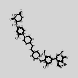 COc1cc(-c2cn(C)c(=O)c3[nH]ncc23)cc(Cl)c1CN1CCC(CCC2CCN(c3ccc(NC4CCC(=O)NC4=O)cc3Cl)CC2)CC1